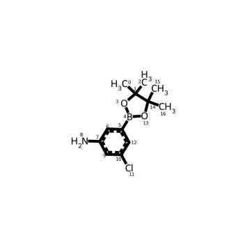 CC1(C)OB(c2cc(N)cc(Cl)c2)OC1(C)C